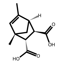 CC1=C[C@]2(C)C[C@@H]1[C@@H](C(=O)O)[C@@H]2C(=O)O